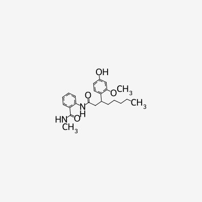 CCCCCC(CC(=O)Nc1ccccc1C(=O)NC)c1ccc(O)cc1OC